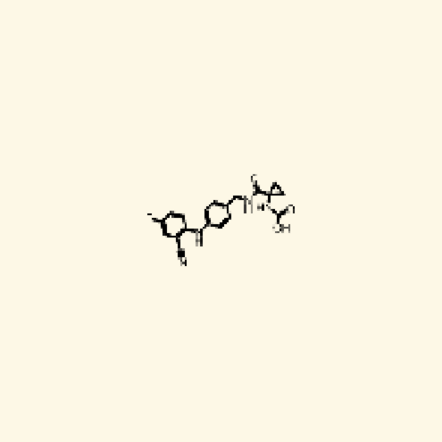 N#Cc1cc(F)ccc1Nc1ccc(CNC(=O)C2(NC(=O)O)CC2)cc1